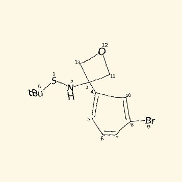 CC(C)(C)SNC1(c2cccc(Br)c2)COC1